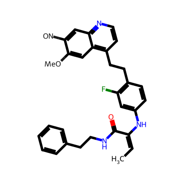 CC=C(Nc1ccc(CCc2ccnc3cc(N=O)c(OC)cc23)c(F)c1)C(=O)NCCc1ccccc1